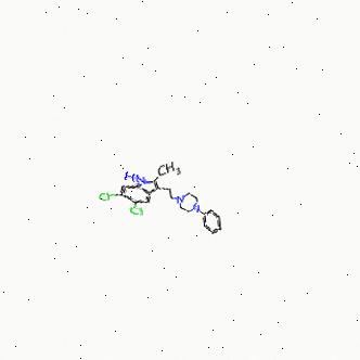 Cc1[nH]c2cc(Cl)c(Cl)cc2c1CCN1CCN(c2ccccc2)CC1